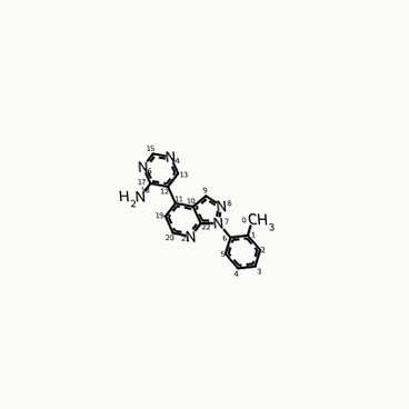 Cc1ccccc1-n1ncc2c(-c3cncnc3N)ccnc21